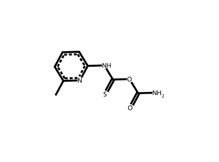 Cc1cccc(NC(=S)OC(N)=O)n1